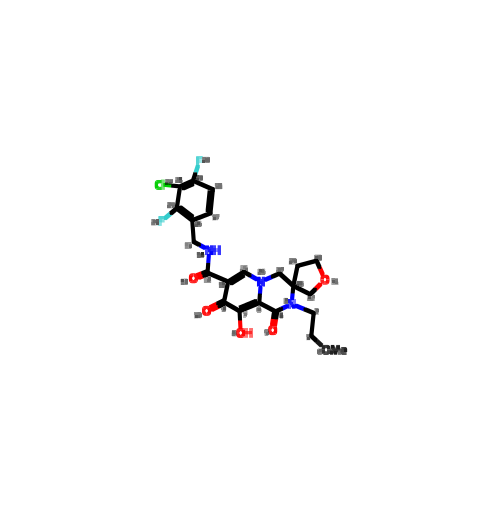 COCCN1C(=O)c2c(O)c(=O)c(C(=O)NCc3ccc(F)c(Cl)c3F)cn2CC12CCOC2